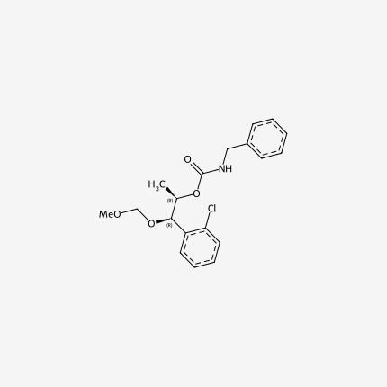 COCO[C@H](c1ccccc1Cl)[C@@H](C)OC(=O)NCc1ccccc1